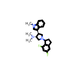 CN(C)[C@H]1CN(C2CCc3cc(F)cc(F)c32)C[C@@H]1c1cn(C)c2ccccc12